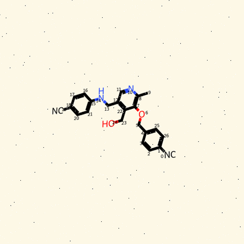 [C-]#[N+]c1ccc(COc2c(C)ncc(CNc3ccc(C#N)cc3)c2CO)cc1